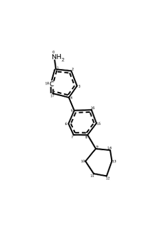 Nc1ccc(-c2ccc(C3CCCCC3)cc2)cc1